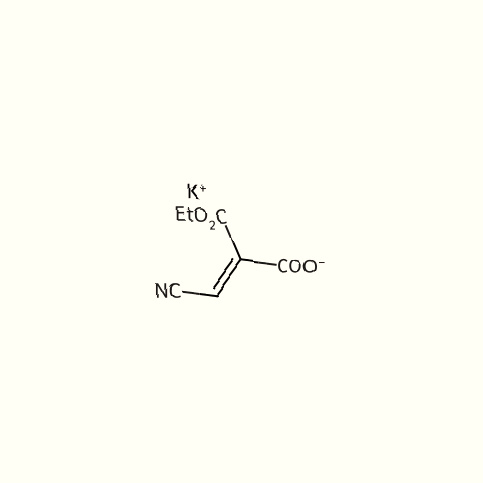 CCOC(=O)/C(=C\C#N)C(=O)[O-].[K+]